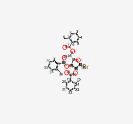 Cc1ccccc1C(=O)OC[C@@H]1O[C@@H](Br)[C@H](OC(=O)c2ccccc2C)[C@H]1OC(=O)c1ccccc1C